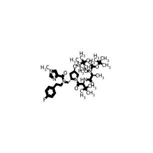 C[C@@H](C(=O)N[C@H](C(=O)N1C[C@H](O[Si](C)(C)C(C)(C)C)C[C@H]1CN(CCc1ccc(F)cc1)C(=O)c1cn(C)cn1)C(C)(C)C)N(C)C(=O)OC(C)(C)C